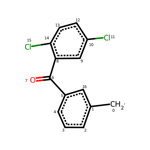 [CH2]c1cccc(C(=O)c2cc(Cl)ccc2Cl)c1